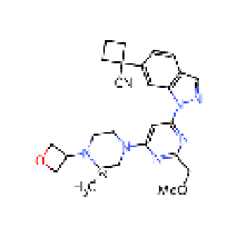 COCc1nc(N2CCN(C3COC3)[C@@H](C)C2)cc(-n2ncc3ccc(C4(C#N)CCC4)cc32)n1